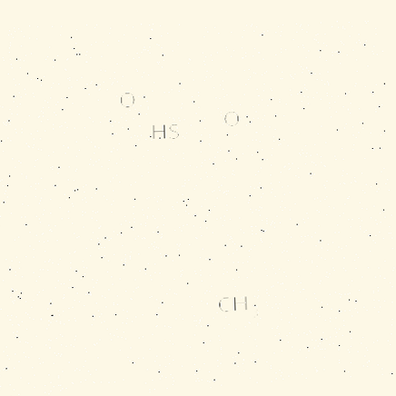 CCCC[SH](=O)=O